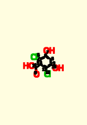 O=C(O)c1c(Cl)c(O)cc(O)c1Cl